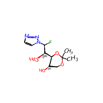 CC1(C)OC[C@@H](O)C([C@@H](O)C(F)n2ccnn2)O1